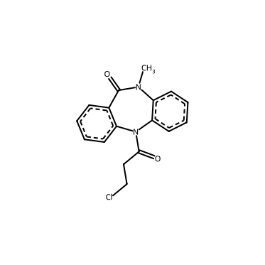 CN1C(=O)c2ccccc2N(C(=O)CCCl)c2ccccc21